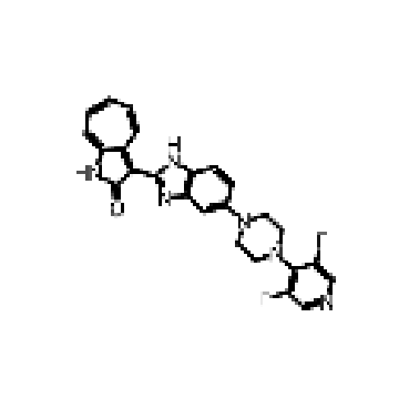 O=c1[nH]c2cccccc-2c1-c1nc2cc(N3CCN(c4c(F)cncc4F)CC3)ccc2[nH]1